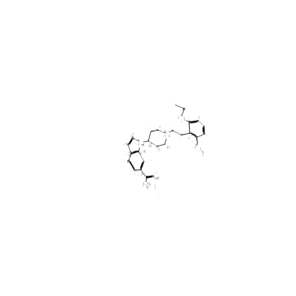 CCOc1cccc(OC)c1CCN1CCC(n2ccc3ccc(C(N)=O)cc32)CC1